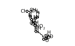 CC1(C)CCC(CN2CCN(c3ccc(C(=O)NS(=O)(=O)c4ccc(NCC5CCCN(CCCCCC#Cc6cccc7c6C(=O)N(C6CCC(=O)NC6=O)C7=O)C5)c([N+](=O)[O-])c4)c(Oc4cnc5[nH]ccc5c4)c3)CC2)=C(c2ccc(Cl)cc2)C1